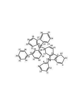 C1=Cc2c(c3c(n2-c2ccccc2)CC([Si](c2ccccc2)(c2ccccc2)c2cccc(-c4ccccc4)c2)C=C3)CC1